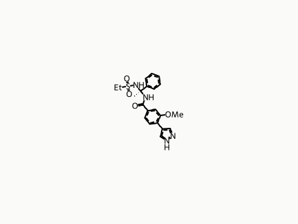 CCS(=O)(=O)N[C@](C)(NC(=O)c1ccc(-c2cn[nH]c2)c(OC)c1)c1ccccc1